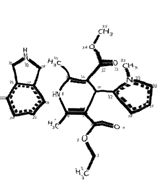 CCOC(=O)C1=C(C)NC(C)=C(C(=O)OC)C1c1cccn1C.c1ccc2c(c1)CNC2